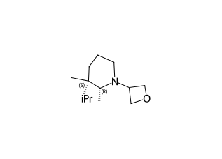 CC(C)[C@]1(C)CCCN(C2COC2)[C@@H]1C